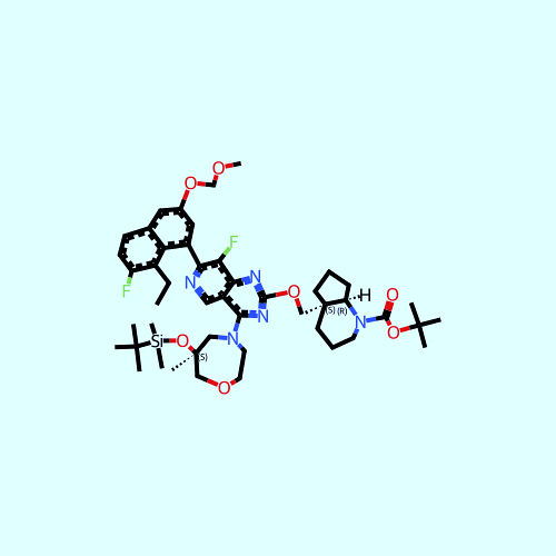 CCc1c(F)ccc2cc(OCOC)cc(-c3ncc4c(N5CCOC[C@@](C)(O[Si](C)(C)C(C)(C)C)C5)nc(OC[C@]56CCC[C@H]5N(C(=O)OC(C)(C)C)CCC6)nc4c3F)c12